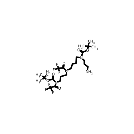 CC(C)(C)OC(=O)N(CCCN)CCCCN(CCCN(C(=O)OC(C)(C)C)C(=O)C(F)(F)F)C(=O)C(F)(F)F